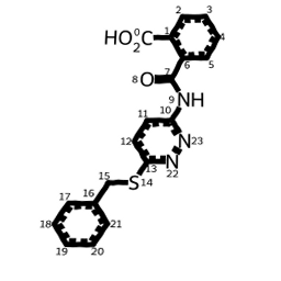 O=C(O)c1ccccc1C(=O)Nc1ccc(SCc2ccccc2)nn1